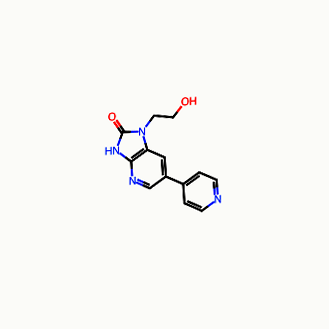 O=c1[nH]c2ncc(-c3ccncc3)cc2n1CCO